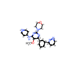 COc1c(Nc2ccncc2)nc(N2CCOCC2)nc1-c1cccc(-c2cccnn2)c1